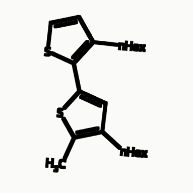 CCCCCCc1cc(-c2sccc2CCCCCC)sc1C